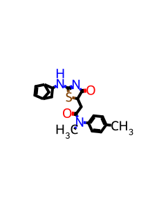 Cc1ccc(N(C)C(=O)CC2SC(NC3CC4C=CC3C4)=NC2=O)cc1